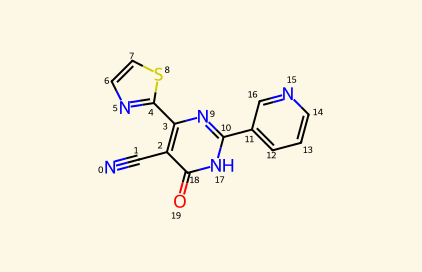 N#Cc1c(-c2nccs2)nc(-c2cccnc2)[nH]c1=O